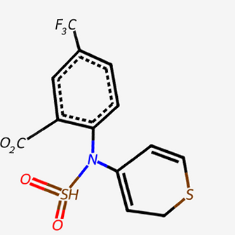 O=C(O)c1cc(C(F)(F)F)ccc1N(C1=CCSC=C1)[SH](=O)=O